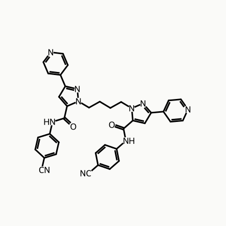 N#Cc1ccc(NC(=O)c2cc(-c3ccncc3)nn2CCCCn2nc(-c3ccncc3)cc2C(=O)Nc2ccc(C#N)cc2)cc1